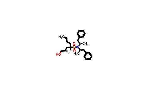 C=CCCC(C)(CCCO)S(=O)(=O)N(B(C)Cc1ccccc1)B(C)Cc1ccccc1